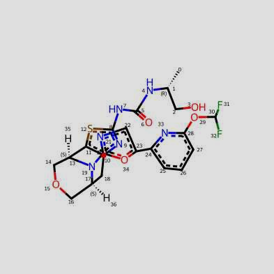 C[C@H](CO)NC(=O)Nc1nc2c(s1)[C@@H]1COC[C@H](C2)N1c1ncc(-c2cccc(OC(F)F)n2)o1